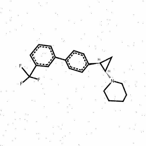 FC(F)(F)c1cccc(-c2ccc([C@H]3C[C@@H]3N3CCCCC3)cc2)c1